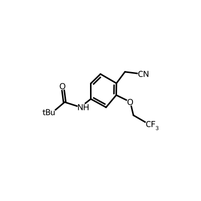 CC(C)(C)C(=O)Nc1ccc(CC#N)c(OCC(F)(F)F)c1